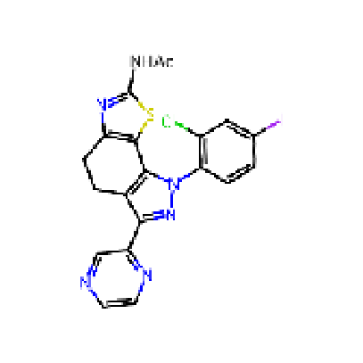 CC(=O)Nc1nc2c(s1)-c1c(c(-c3cnccn3)nn1-c1ccc(I)cc1Cl)CC2